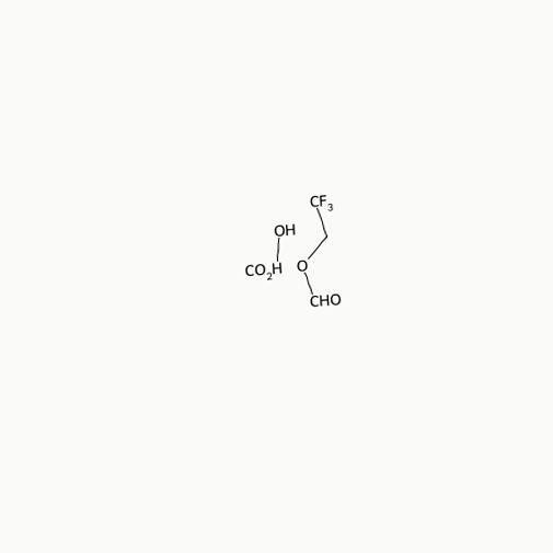 O=C(O)O.O=COCC(F)(F)F